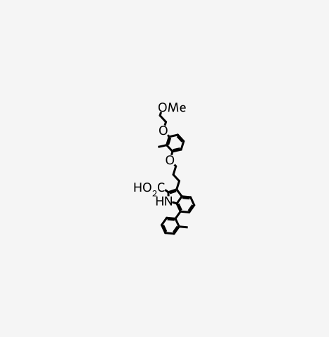 COCCOc1cccc(OCCCc2c(C(=O)O)[nH]c3c(-c4ccccc4C)cccc23)c1C